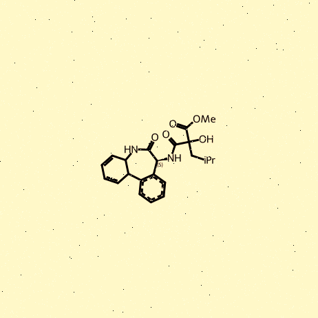 COC(=O)C(O)(CC(C)C)C(=O)N[C@@H]1C(=O)NC2C=CC=CC2c2ccccc21